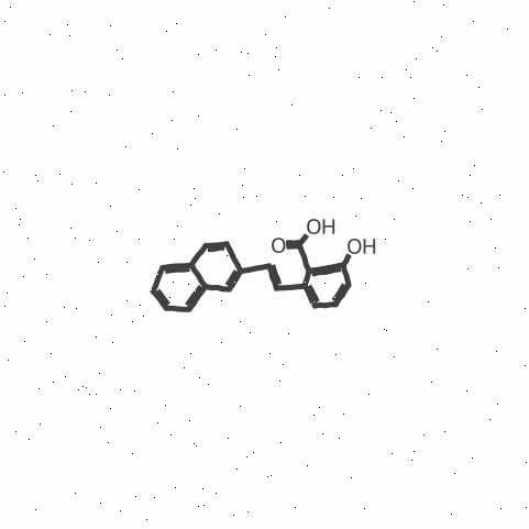 O=C(O)c1c(O)cccc1C=Cc1ccc2ccccc2c1